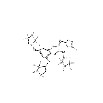 CN1CCC(Oc2cc3cc(OC4CC(C)(C)N(C)C4(C)C)cc(OC4CC(C)(C)N(C)C4(C)C)c3cc2OC2CC(C)(C)N(C)C2(C)C)C1